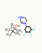 CC(C)(C)[Si](C)(C)OC[C@@H]1CNCCN1c1cc(F)c(F)c(F)c1